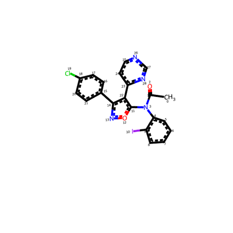 CC(=O)N(c1ccccc1I)c1onc(-c2ccc(Cl)cc2)c1-c1ccncn1